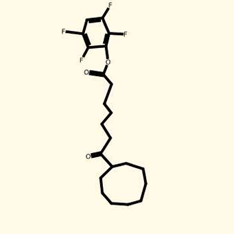 O=C(CCCCCC(=O)C1CCCCCCCC1)Oc1c(F)c(F)cc(F)c1F